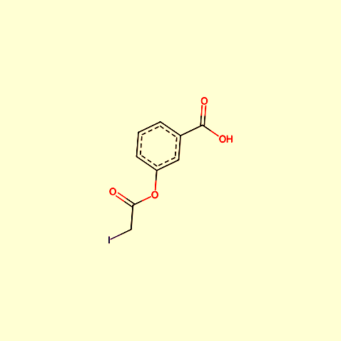 O=C(CI)Oc1cccc(C(=O)O)c1